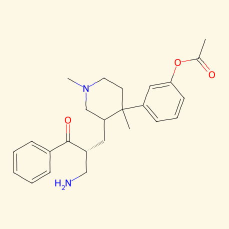 CC(=O)Oc1cccc(C2(C)CCN(C)CC2C[C@H](CN)C(=O)c2ccccc2)c1